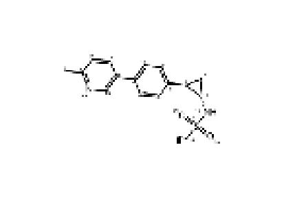 Cc1ccc(-c2ccc([C@H]3C[C@@H]3NS(=O)(=O)C(C)C)cc2)cn1